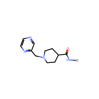 CCNC(=O)C1CCN(Cc2cnccn2)CC1